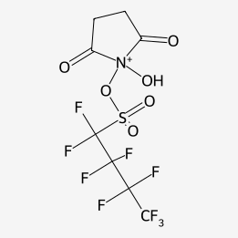 O=C1CCC(=O)[N+]1(O)OS(=O)(=O)C(F)(F)C(F)(F)C(F)(F)C(F)(F)F